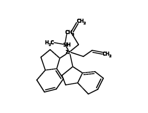 C=C[CH2][Zr]([CH2]C=C)([CH]1CCC2CC=CC=C21)([CH]1CCC2CC=CC=C21)[SiH](C)C